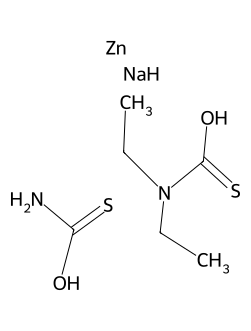 CCN(CC)C(O)=S.NC(O)=S.[NaH].[Zn]